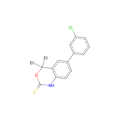 CCC1(CC)OC(=S)Nc2ccc(-c3cccc(Cl)c3)cc21